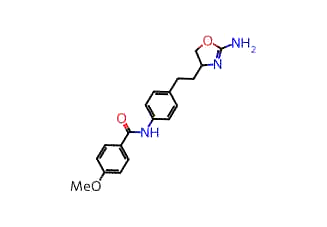 COc1ccc(C(=O)Nc2ccc(CCC3COC(N)=N3)cc2)cc1